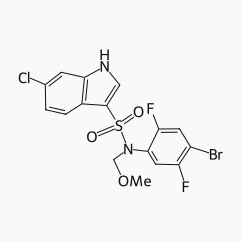 COCN(c1cc(F)c(Br)cc1F)S(=O)(=O)c1c[nH]c2cc(Cl)ccc12